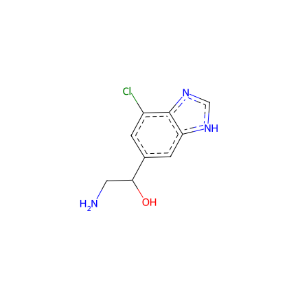 NCC(O)c1cc(Cl)c2nc[nH]c2c1